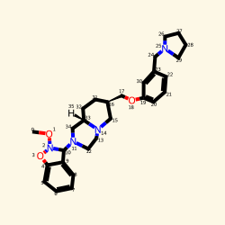 CON1Oc2ccccc2C1N1CCN2C[C@H](COc3cccc(CN4CCCC4)c3)CC[C@H]2C1